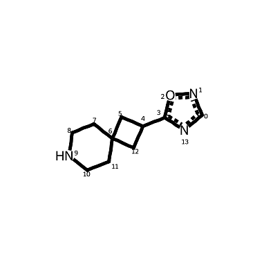 c1noc(C2CC3(CCNCC3)C2)n1